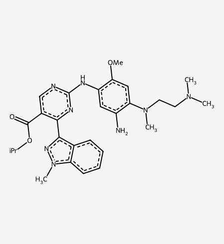 COc1cc(N(C)CCN(C)C)c(N)cc1Nc1ncc(C(=O)OC(C)C)c(-c2nn(C)c3ccccc23)n1